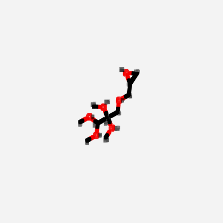 COC(OC)[Si](COCC1CO1)(OC)OC